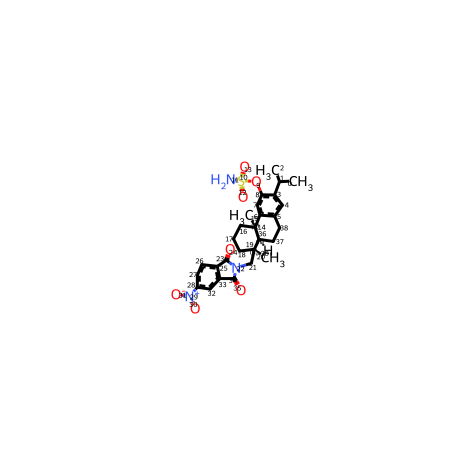 CC(C)c1cc2c(cc1OS(N)(=O)=O)[C@@]1(C)CCC[C@@](C)(CN3C(=O)c4ccc([N+](=O)[O-])cc4C3=O)[C@@H]1CC2